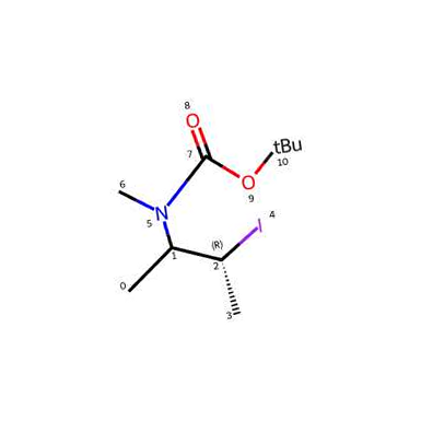 CC([C@@H](C)I)N(C)C(=O)OC(C)(C)C